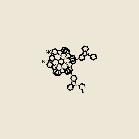 C=C/C=C(\C=C/C)n1c2ccccc2c2cc(-c3ccc4c(c3)c3cc(-c5ccc6c(c5)c5ccccc5n6-c5ccccc5)ccc3n4-c3c(-n4c5ccccc5c5ccccc54)c(-n4c5ccccc5c5ccccc54)c(-c4cc(C#N)cc(C#N)c4)c(-n4c5ccccc5c5ccccc54)c3-n3c4ccccc4c4ccccc43)ccc21